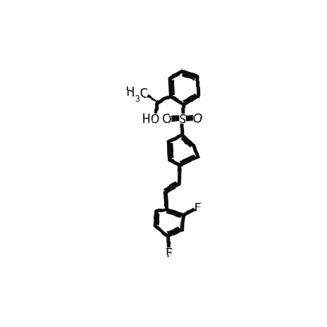 C[C@H](O)c1ccccc1S(=O)(=O)c1ccc(C=Cc2ccc(F)cc2F)cc1